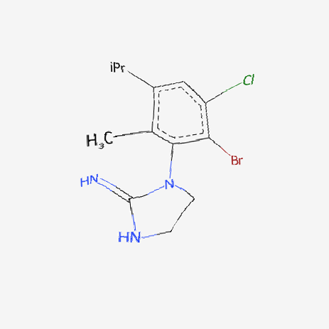 Cc1c(C(C)C)cc(Cl)c(Br)c1N1CCNC1=N